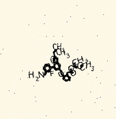 COCC(C)OC(=O)Cc1ccccc1OCc1cc(-c2cccc(CN)c2F)c2oc(CC(C)C)cc2c1